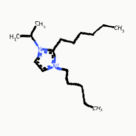 CCCCCCc1n(C(C)C)cc[n+]1CCCCC